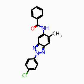 Cc1cc2nn(-c3ccc(Cl)cc3)nc2cc1NC(=O)c1ccccc1